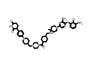 CC1(NCC2CCC(C(=O)N3CCN(CC4CCN(c5ccc(C6CCC(=O)NC6=O)cc5)CC4)CC3)CC2)CCN(c2cnc(Sc3cccc(N)c3Cl)c(N)n2)CC1